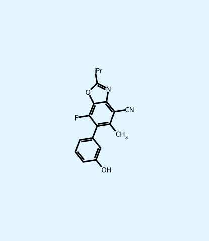 Cc1c(-c2cccc(O)c2)c(F)c2oc(C(C)C)nc2c1C#N